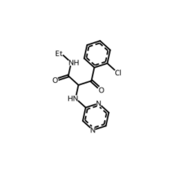 CCNC(=O)C(Nc1cnccn1)C(=O)c1ccccc1Cl